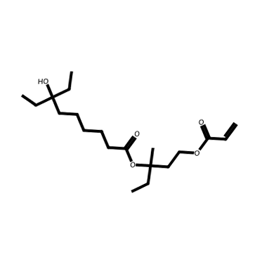 C=CC(=O)OCCC(C)(CC)OC(=O)CCCCCC(O)(CC)CC